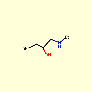 [CH2]CCCC(O)CNCC